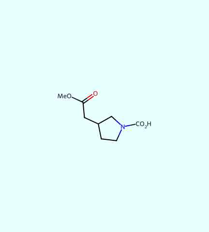 COC(=O)CC1CCN(C(=O)O)C1